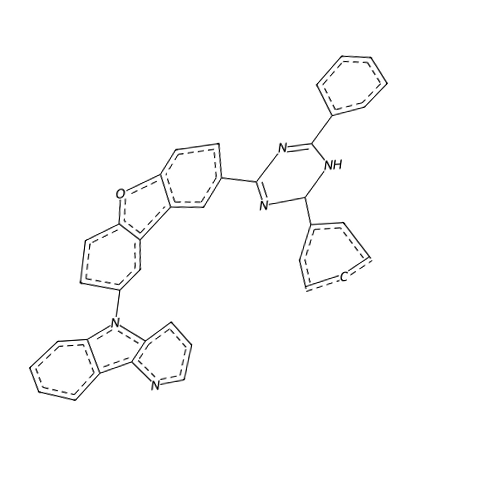 c1ccc(C2=NC(c3ccc4oc5ccc(-n6c7ccccc7c7ncccc76)cc5c4c3)=NC(c3ccccc3)N2)cc1